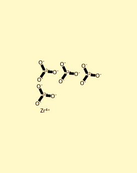 [O-][I+2]([O-])[O-].[O-][I+2]([O-])[O-].[O-][I+2]([O-])[O-].[O-][I+2]([O-])[O-].[Zr+4]